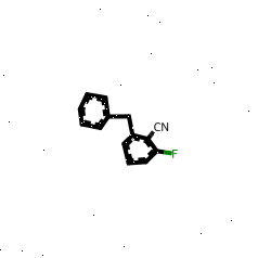 N#Cc1c(F)cccc1Cc1ccccc1